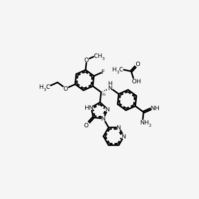 CC(=O)O.CCOc1cc(OC)c(F)c([C@H](Nc2ccc(C(=N)N)cc2)c2nn(-c3cccnn3)c(=O)[nH]2)c1